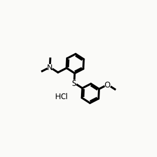 COc1cccc(Sc2ccccc2CN(C)C)c1.Cl